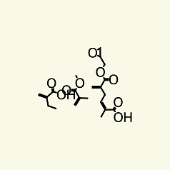 C=C(C)C(=O)OC.C=C(CC)C(=O)O.C=C(CC=C(C)C(=O)O)C(=O)OCC1CO1